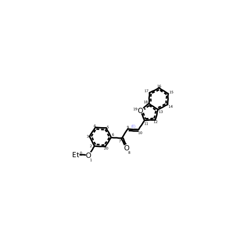 CCOc1cccc(C(=O)/C=C/c2cc3ccccc3o2)c1